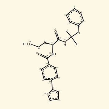 CC(C)(Cc1ccccc1)NC(=O)[C@H](CCC(=O)O)NC(=O)c1ccc(-c2cccs2)cc1